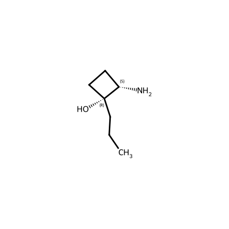 CCC[C@@]1(O)CC[C@@H]1N